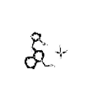 CCn1cc/c(=N\c2scc[n+]2C)c2ccccc21.F[B-](F)(F)F